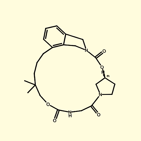 CC1(C)CCCc2cccc3c2CN(C3)C(=O)O[C@@H]2CCN(C2)C(=O)CNC(=O)OC1